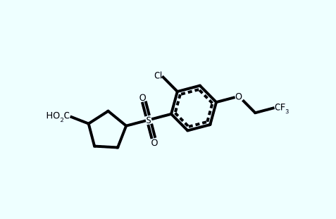 O=C(O)C1CCC(S(=O)(=O)c2ccc(OCC(F)(F)F)cc2Cl)C1